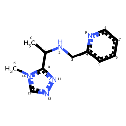 CC(NCc1ccccn1)c1nncn1C